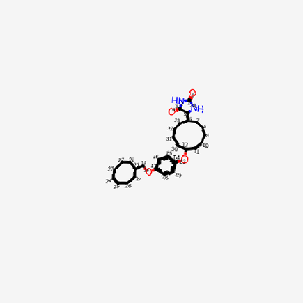 O=C1NC(=O)C(C2CCCCCC(Oc3ccc(OCC4CCCCCCC4)cc3)CCCC2)N1